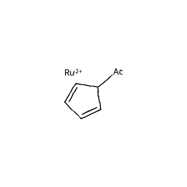 CC(=O)C1C=CC=C1.[Ru+2]